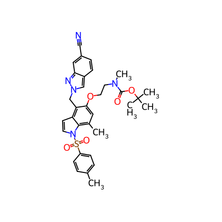 Cc1ccc(S(=O)(=O)n2ccc3c(Cn4cc5ccc(C#N)cc5n4)c(OCCN(C)C(=O)OC(C)(C)C)cc(C)c32)cc1